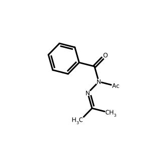 CC(=O)N(N=C(C)C)C(=O)c1ccccc1